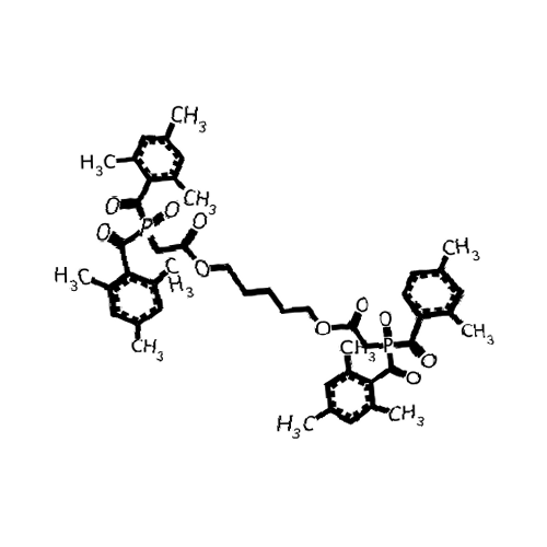 Cc1ccc(C(=O)P(=O)(CC(=O)OCCCCCOC(=O)CP(=O)(C(=O)c2c(C)cc(C)cc2C)C(=O)c2c(C)cc(C)cc2C)C(=O)c2c(C)cc(C)cc2C)c(C)c1